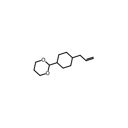 C=CCC1CCC(C2OCCCO2)CC1